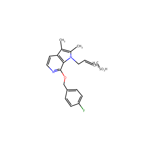 C=CCn1c(C)c(C)c2ccnc(OCc3ccc(F)cc3)c21.CS(=O)(=O)O